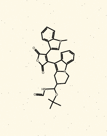 Cn1cc(C2=C(c3c4n(c5ccccc35)CCC(C(NC=O)OC(C)(C)C)C4)C(=O)OC2=O)c2ccccc21